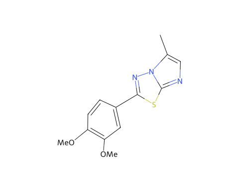 COc1ccc(-c2nn3c(C)cnc3s2)cc1OC